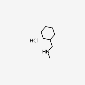 CNCC1CCCCC1.Cl